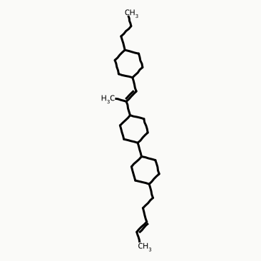 C/C=C/CCC1CCC(C2CCC(/C(C)=C/C3CCC(CCC)CC3)CC2)CC1